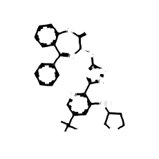 O=C1Nc2ccccc2C(c2ccccc2)=N[C@@H]1Nc1nnc(-c2ncc(C(F)(F)F)cc2NC2CCOC2)o1